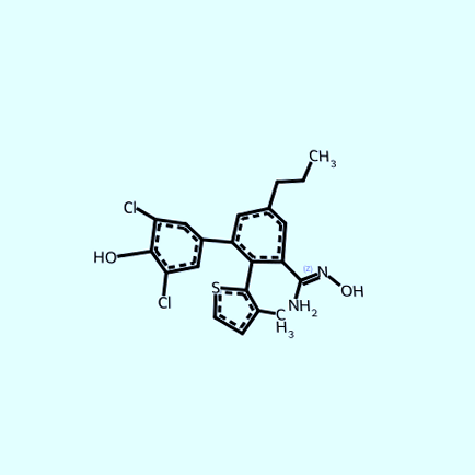 CCCc1cc(/C(N)=N/O)c(-c2sccc2C)c(-c2cc(Cl)c(O)c(Cl)c2)c1